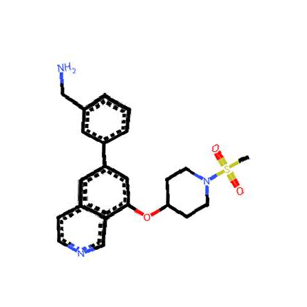 CS(=O)(=O)N1CCC(Oc2cc(-c3cccc(CN)c3)cc3ccncc23)CC1